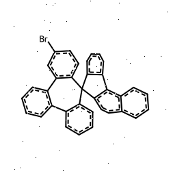 Brc1ccc2c(c1)-c1ccccc1-c1ccccc1C21c2ccccc2-c2c1ccc1ccccc21